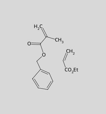 C=C(C)C(=O)OCc1ccccc1.C=CC(=O)OCC